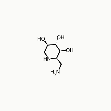 NC[C@H]1NC[C@@H](O)[C@H](O)[C@H]1O